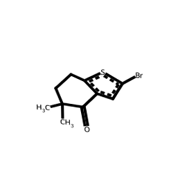 CC1(C)CCc2sc(Br)cc2C1=O